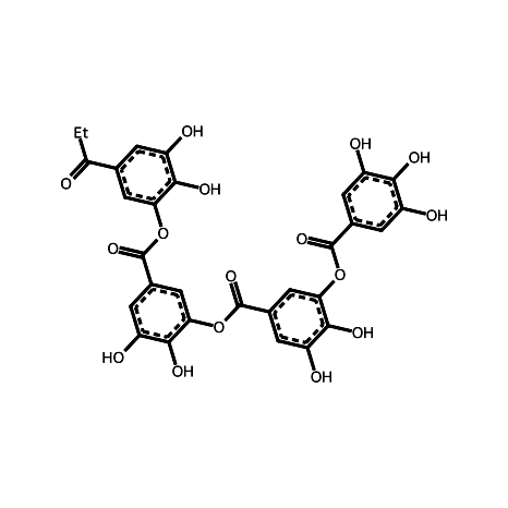 CCC(=O)c1cc(O)c(O)c(OC(=O)c2cc(O)c(O)c(OC(=O)c3cc(O)c(O)c(OC(=O)c4cc(O)c(O)c(O)c4)c3)c2)c1